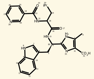 Cc1[nH]c([C@@H](Cc2c[nH]c3ccccc23)NC(=O)C(CC(C)C)NC(=O)c2cccnc2)nc1C(=O)O